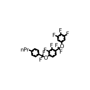 CCCc1ccc(C(F)(F)Oc2ccc(C(F)(F)Oc3cc(F)c(F)c(F)c3)c(F)c2F)cc1